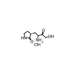 Cl.NC(C[C@@H]1CCNC1=O)C(=O)CO